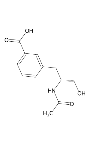 CC(=O)N[C@@H](CO)Cc1cccc(C(=O)O)c1